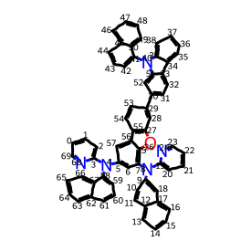 c1ccc(N(c2cc(N(c3ccc4ccccc4c3)c3ccccn3)c3oc4cc(-c5ccc6c7ccccc7n(-c7cccc8ccccc78)c6c5)ccc4c3c2)c2cccc3ccccc23)nc1